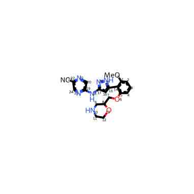 COc1cccc(OCC2CNCCO2)c1-c1cc(Nc2cnc(C#N)cn2)n[nH]1